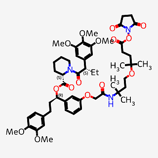 CC[C@H](C(=O)N1CCCC[C@H]1C(=O)O[C@H](CCc1ccc(OC)c(OC)c1)c1cccc(OCC(=O)NC(C)(C)CCOC(C)(C)CCC(=O)ON2C(=O)CCC2=O)c1)c1cc(OC)c(OC)c(OC)c1